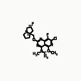 COc1nc(Cl)c(F)c2nc(OC[C@@]34CCCN3C[C@H](F)C4)nc(N(C)C)c12